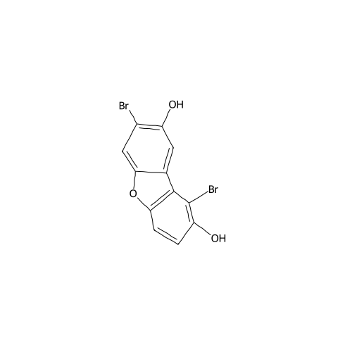 Oc1cc2c(cc1Br)oc1ccc(O)c(Br)c12